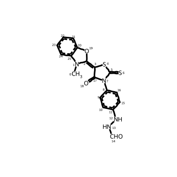 CN1C(=C2SC(=S)N(c3ccc(NNC=O)cc3)C2=O)Oc2ccccc21